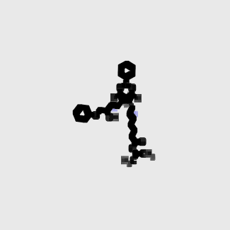 CC(C)OC(=O)CCC/C=C/C[C@@H]1[C@@H](/C=C/C(O)COc2ccccc2)[C@H]2C[C@@H]1OB(c1ccccc1)O2